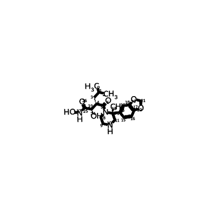 CC(C)C[C@H](C(=O)N1CCNC[C@@]1(C)c1ccc2c(c1)OCO2)[C@H](O)C(=O)NO